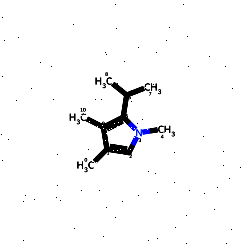 Cc1cn(C)c(C(C)C)c1C